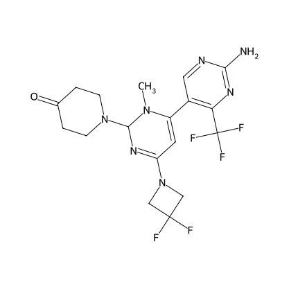 CN1C(c2cnc(N)nc2C(F)(F)F)=CC(N2CC(F)(F)C2)=NC1N1CCC(=O)CC1